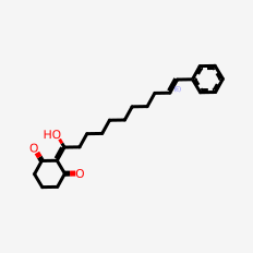 O=C1CCCC(=O)C1=C(O)CCCCCCCC/C=C/c1ccccc1